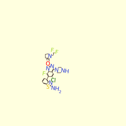 Nc1nc2c(-c3c(Cl)cc4c(N5CCNCC5)nc(OC[C@@H]5CCCN5CC(F)F)nc4c3F)cccc2s1